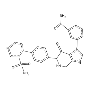 NC(=O)c1cccc(-n2cnc3c2C(=O)C(c2ccc(-c4ccncc4S(N)(=O)=O)cc2)NC3)c1